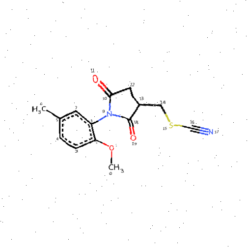 COc1ccc(C)cc1N1C(=O)CC(CSC#N)C1=O